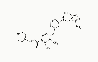 Cc1noc(C)c1CNc1cccc(Sc2ccc(C(=O)C=CN3CCOCC3)c(C(F)(F)F)c2C(F)(F)F)c1